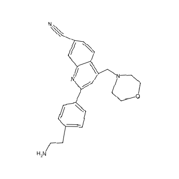 N#Cc1ccc2c(CN3CCOCC3)cc(-c3ccc(CCN)cc3)nc2c1